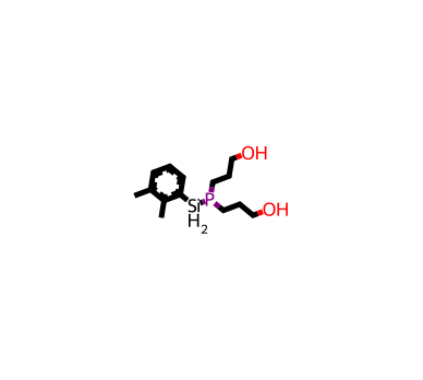 Cc1cccc([SiH2]P(CCCO)CCCO)c1C